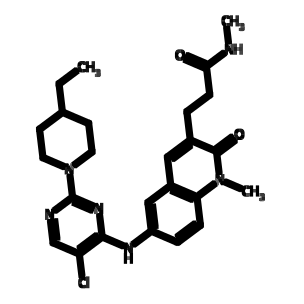 CCC1CCN(c2ncc(Cl)c(Nc3ccc4c(c3)cc(CCC(=O)NC)c(=O)n4C)n2)CC1